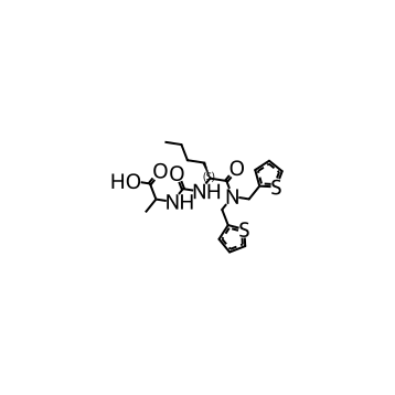 CCCC[C@H](NC(=O)NC(C)C(=O)O)C(=O)N(Cc1cccs1)Cc1cccs1